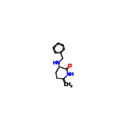 C=C1CCC(NCc2ccccc2)C(=O)N1